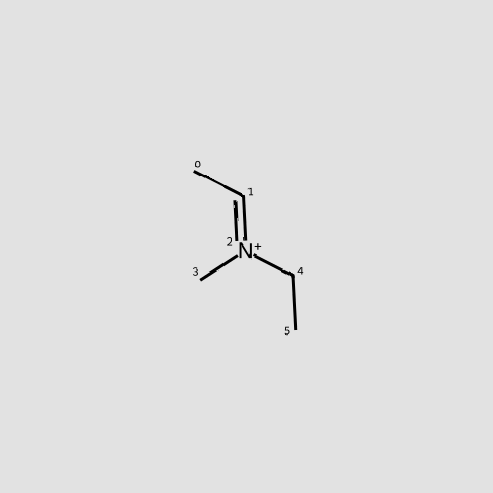 C/C=[N+](\C)CC